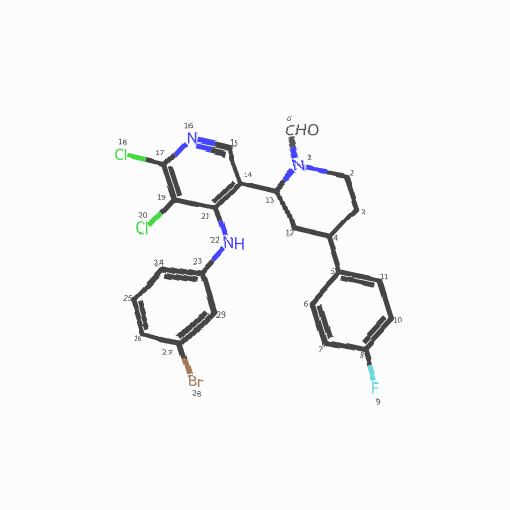 O=CN1CCC(c2ccc(F)cc2)CC1c1cnc(Cl)c(Cl)c1Nc1cccc(Br)c1